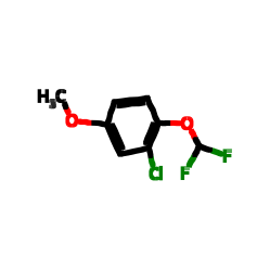 COc1ccc(OC(F)F)c(Cl)c1